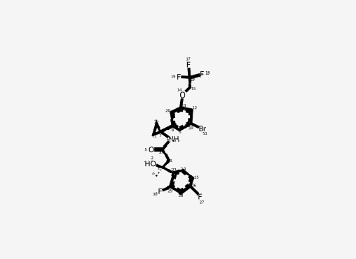 C[C@](O)(CC(=O)NC1(c2cc(Br)cc(OCC(F)(F)F)c2)CC1)c1ccc(F)cc1F